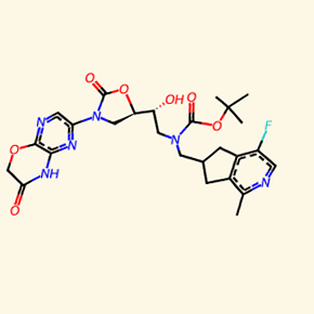 Cc1ncc(F)c2c1CC(CN(C[C@@H](O)[C@H]1CN(c3cnc4c(n3)NC(=O)CO4)C(=O)O1)C(=O)OC(C)(C)C)C2